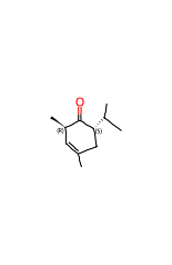 CC1=C[C@@H](C)C(=O)[C@H](C(C)C)C1